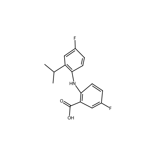 CC(C)c1cc(F)ccc1Nc1ccc(F)cc1C(=O)O